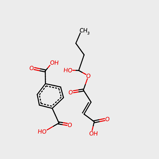 CCCC(O)OC(=O)/C=C/C(=O)O.O=C(O)c1ccc(C(=O)O)cc1